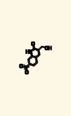 O=c1[nH]c2cc([N+](=O)[O-])ccc2cc1CO